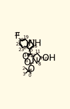 CC(C)(C)OC(=O)N1C[C@@H](O)C[C@H]1C(=O)c1c[nH]c2cc(F)ccc12